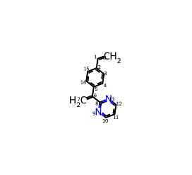 C=Cc1ccc(C(=C)c2ncccn2)cc1